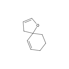 C1=CC2(CC=CO2)CCC1